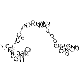 O=C1CCC(N2Cc3c(NC(=O)COCCOCCOCC4=CN(CCCC(=O)N5CCN(CC#Cc6ccc(OCCCc7sc(N8CCc9cccc(C(=O)Nc%10nc%11ccccc%11s%10)c9C8)nc7C(=O)O)c(F)c6)CC5)NN4)cccc3C2=O)C(=O)N1